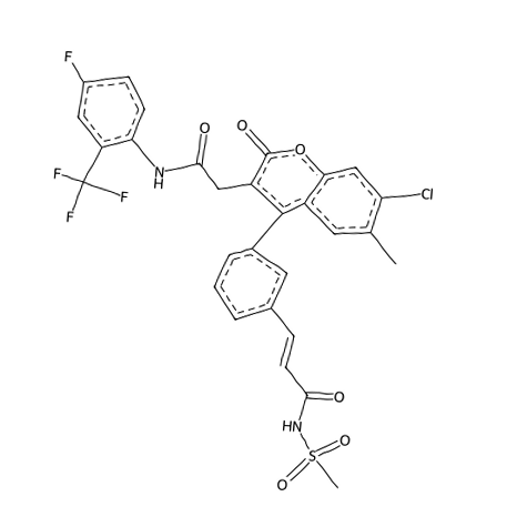 Cc1cc2c(-c3cccc(C=CC(=O)NS(C)(=O)=O)c3)c(CC(=O)Nc3ccc(F)cc3C(F)(F)F)c(=O)oc2cc1Cl